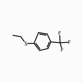 C[CH]Sc1ccc(C(F)(F)F)cc1